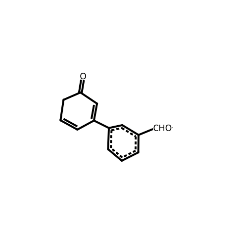 O=[C]c1cccc(C2=CC(=O)CC=C2)c1